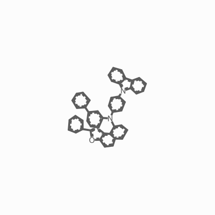 c1ccc(-c2cccc(N(c3ccc(-n4c5ccccc5c5ccccc54)cc3)c3cccc4ccc5oc(-c6ccccc6)nc5c34)c2)cc1